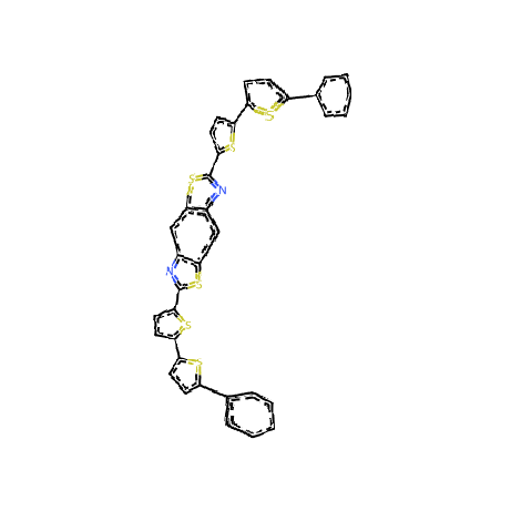 c1ccc(-c2ccc(-c3ccc(-c4nc5cc6sc(-c7ccc(-c8ccc(-c9ccccc9)s8)s7)nc6cc5s4)s3)s2)cc1